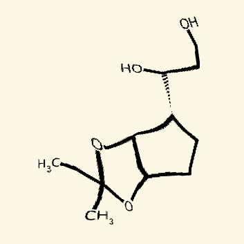 CC1(C)OC2CC[C@@H](C(O)CO)C2O1